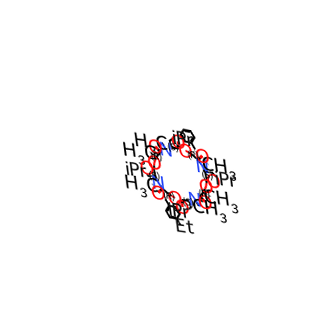 CCc1ccc(C[C@H]2OC(=O)[C@H](CC(C)C)N(C)C(=O)[C@@H](C)OC(=O)[C@H](CC(C)C)N(C)C(=O)[C@@H](Cc3ccccc3)OC(=O)[C@H](CC(C)C)N(C)C(=O)[C@@H](C)OC(=O)[C@H](CC(C)C)N(C)C2=O)cc1